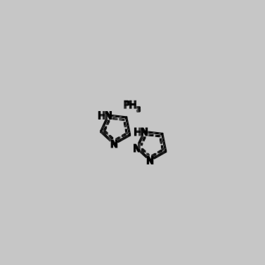 P.c1c[nH]cn1.c1c[nH]nn1